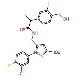 CC(C(=O)NCc1cc(C(C)(C)C)nn1-c1ccc(F)c(Cl)c1)c1ccc(CO)c(F)c1